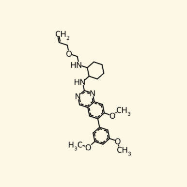 C=CCOCNC1CCCCC1Nc1ncc2cc(-c3cc(OC)cc(OC)c3)c(OC)cc2n1